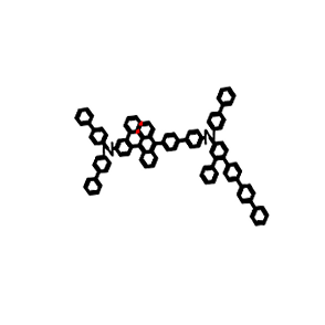 c1ccc(-c2ccc(-c3ccc(-c4ccc(N(c5ccc(-c6ccccc6)cc5)c5ccc(-c6ccc(-c7c8ccccc8c(-c8ccc(N(c9ccc(-c%10ccccc%10)cc9)c9ccc(-c%10ccccc%10)cc9)cc8-c8ccccc8)c8ccccc78)cc6)cc5)cc4-c4ccccc4)cc3)cc2)cc1